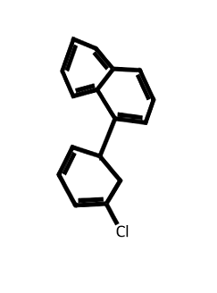 ClC1=CC=C[C](c2cccc3ccccc23)C1